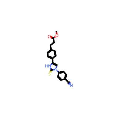 COC(=O)CCc1ccc(-c2cn(-c3ccc(C#N)cc3)c(=S)[nH]2)cc1